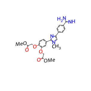 COC(=O)COc1ccc(-c2nc(-c3ccc(C(=N)N)cc3)cn2C)cc1OCC(=O)OC